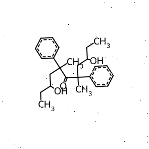 CCC(O)CC(C)(C(=O)C(C)(CC(O)CC)c1ccccc1)c1ccccc1